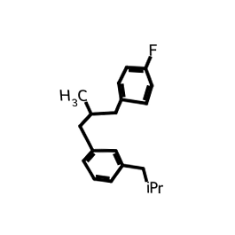 CC(C)Cc1cccc(CC(C)Cc2ccc(F)cc2)c1